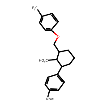 CNc1ccc(C2CCCC(COc3ccc(C(F)(F)F)cc3)C2C(=O)O)cc1